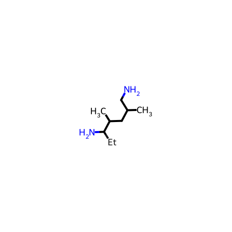 CCC(N)C(C)CC(C)CN